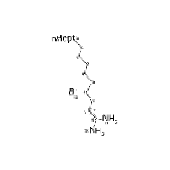 CCCCCCCCCCCCCC[S+]=C(N)N.[Br-]